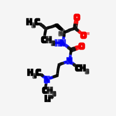 CC(C)C[C@H](NC(=O)N(C)CCN(C)C)C(=O)[O-].[Li+]